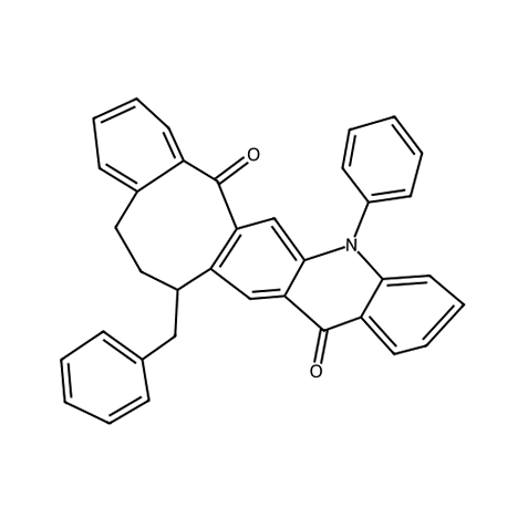 O=C1c2ccccc2CCC(Cc2ccccc2)c2cc3c(=O)c4ccccc4n(-c4ccccc4)c3cc21